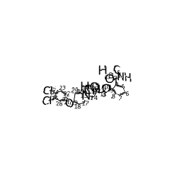 CNC(=O)c1ccccc1OCC(O)C[N+]1(C)CCC(Oc2ccc(Cl)c(Cl)c2)CC1